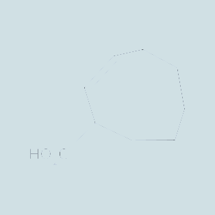 O=C(O)C1C=CCCCCC1